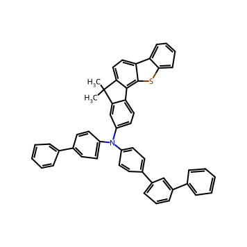 CC1(C)c2cc(N(c3ccc(-c4ccccc4)cc3)c3ccc(-c4cccc(-c5ccccc5)c4)cc3)ccc2-c2c1ccc1c2sc2ccccc21